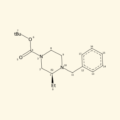 CC[C@H]1CN(C(=O)OC(C)(C)C)CCN1Cc1ccccc1